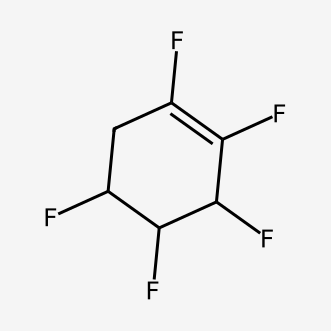 FC1=C(F)C(F)C(F)C(F)C1